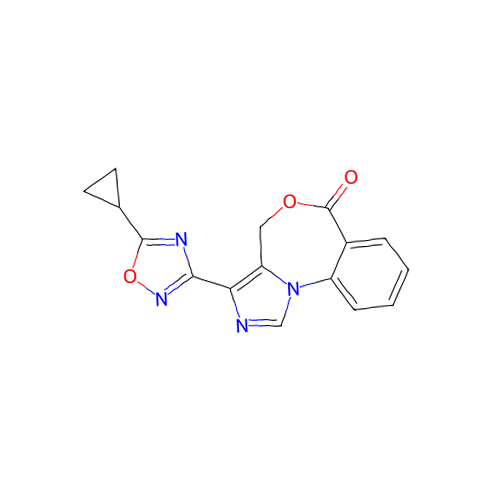 O=C1OCc2c(-c3noc(C4CC4)n3)ncn2-c2ccccc21